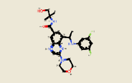 CC(Nc1cc(F)cc(F)c1)c1cc(C(=O)NC(C)(C)CO)cc2ncc(N3CCOCC3)nc12